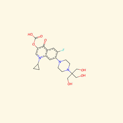 O=C(O)Oc1cn(C2CC2)c2cc(N3CCN(C(CO)(CO)CO)CC3)c(F)cc2c1=O